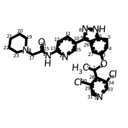 CC(Oc1ccc2[nH]nc(-c3ccc(NC(=O)CN4CCCCC4)nc3)c2c1)c1c(Cl)cncc1Cl